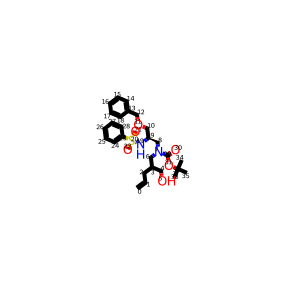 C=CCC(CO)CN(C[C@H](COCc1ccccc1)NS(=O)(=O)c1ccccc1)C(=O)OC(C)(C)C